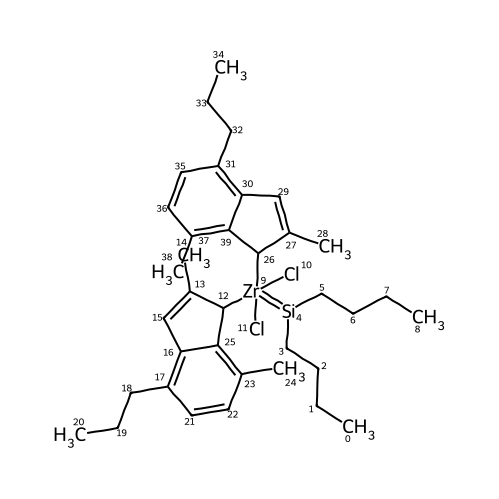 CCCC[Si](CCCC)=[Zr]([Cl])([Cl])([CH]1C(C)=Cc2c(CCC)ccc(C)c21)[CH]1C(C)=Cc2c(CCC)ccc(C)c21